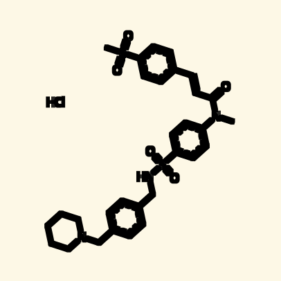 CN(C(=O)/C=C/c1ccc(S(C)(=O)=O)cc1)c1ccc(S(=O)(=O)NCc2ccc(CN3CCCCC3)cc2)cc1.Cl